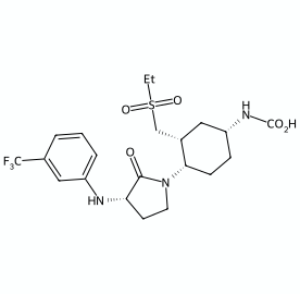 CCS(=O)(=O)C[C@@H]1C[C@H](NC(=O)O)CC[C@@H]1N1CC[C@H](Nc2cccc(C(F)(F)F)c2)C1=O